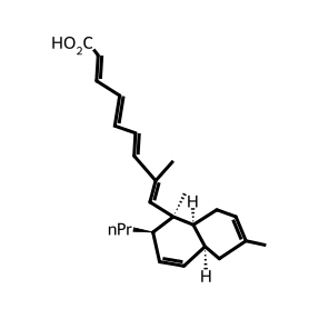 CCC[C@@H]1C=C[C@@H]2CC(C)=CC[C@@H]2[C@]1(C)/C=C(C)/C=C/C=C/C=C/C(=O)O